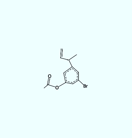 C=C[C](C)c1cc(Br)cc(OC(C)=O)c1